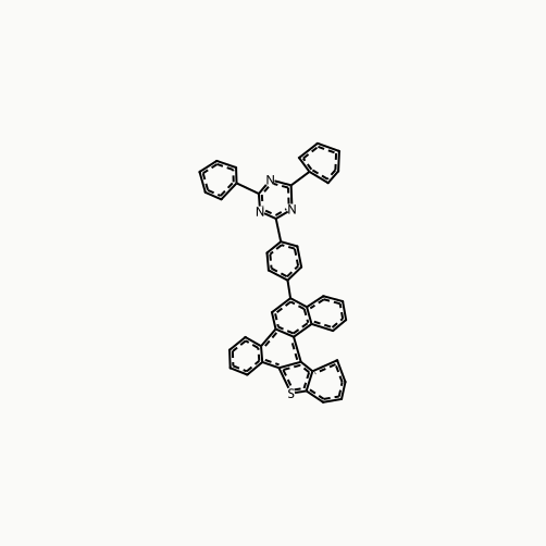 c1ccc(-c2nc(-c3ccccc3)nc(-c3ccc(-c4cc5c6ccccc6c6sc7ccccc7c6c5c5ccccc45)cc3)n2)cc1